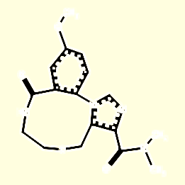 COc1ccc2c(c1)C(=O)NCCCCc1c(C(=O)N(C)C)ncn1-2